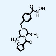 CC1CN(Cc2ccc(C(=O)NO)cc2)CC(C)N1C(=O)c1ccco1